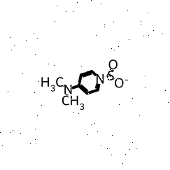 CN(C)c1cc[n+](S(=O)[O-])cc1